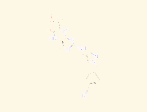 COC(C)C1C(=O)Nc2c(C)nc(NCc3cnn(Cc4ccc(C#N)cc4)c3)nc2N1C